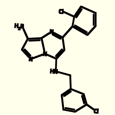 Bc1cnn2c(NCc3cccc(Cl)c3)cc(-c3ccccc3Cl)nc12